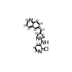 Clc1ncccc1NC1N=CC(=Cc2ccc3ncccc3c2)S1